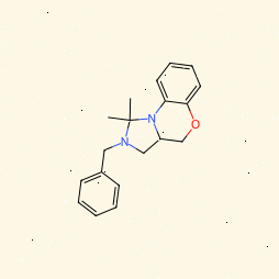 CC1(C)N(Cc2ccccc2)CC2COc3ccccc3N21